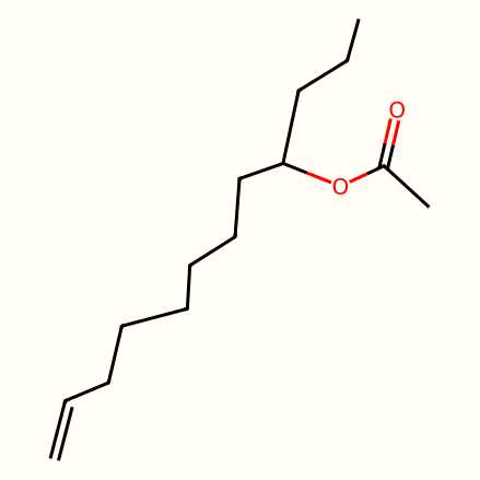 C=CCCCCCCC(CCC)OC(C)=O